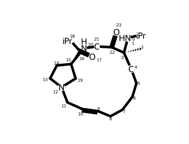 CC(C)N[C@@]1(C)CCCCC/C=C/CN2CC[C@@](C(=O)C(C)C)(C2)NCC1=O